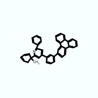 CC1(c2cc(-c3cccc(-c4ccc5c6ccccc6c6ccccc6c5c4)c3)cc(-c3ccccc3)n2)C=CC=CC1